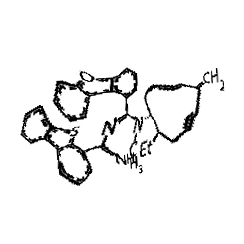 C=C1/C=C\C[C@@H](CC)[C@H](N(C)/C(=N\C(=N)c2cccc3c2sc2ccccc23)c2cccc3oc4ccccc4c23)C/C=C\1